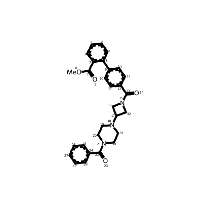 COC(=O)c1ccccc1-c1ccc(C(=O)N2CC(N3CCN(C(=O)c4ccccc4)CC3)C2)cc1